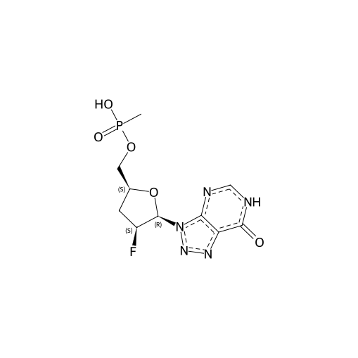 CP(=O)(O)OC[C@@H]1C[C@H](F)[C@H](n2nnc3c(=O)[nH]cnc32)O1